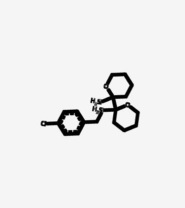 [SiH3]C1(C2([SiH2]Cc3ccc(Cl)cc3)CCCCO2)CCCCO1